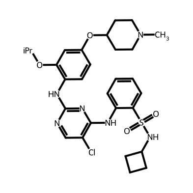 CC(C)Oc1cc(OC2CCN(C)CC2)ccc1Nc1ncc(Cl)c(Nc2ccccc2S(=O)(=O)NC2CCC2)n1